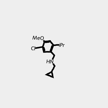 COc1cc(C(C)C)c(CNCC2CC2)cc1Cl